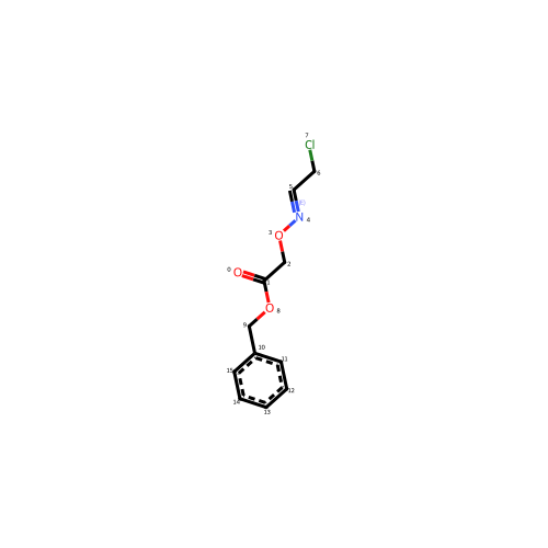 O=C(CO/N=C/CCl)OCc1ccccc1